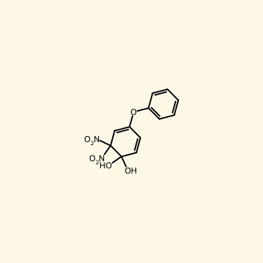 O=[N+]([O-])C1([N+](=O)[O-])C=C(Oc2ccccc2)C=CC1(O)O